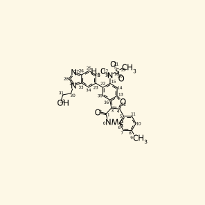 CNC(=O)c1c(-c2ccc(C)cc2)oc2cc(N(C)S(C)(=O)=O)c(-c3ccc4ncn(CCO)c4c3)cc12